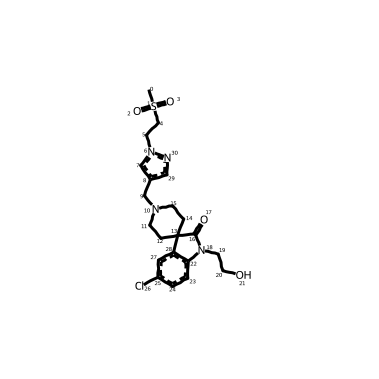 CS(=O)(=O)CCn1cc(CN2CCC3(CC2)C(=O)N(CCO)c2ccc(Cl)cc23)cn1